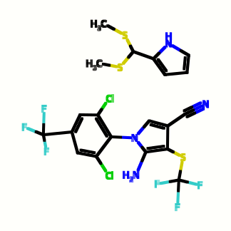 CSC(SC)c1ccc[nH]1.N#Cc1cn(-c2c(Cl)cc(C(F)(F)F)cc2Cl)c(N)c1SC(F)(F)F